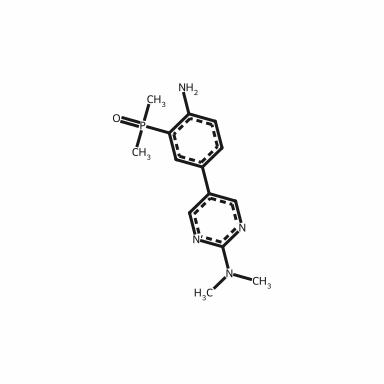 CN(C)c1ncc(-c2ccc(N)c(P(C)(C)=O)c2)cn1